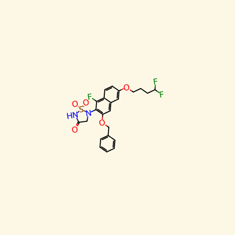 O=C1CN(c2c(OCc3ccccc3)cc3cc(OCCCC(F)F)ccc3c2F)S(=O)(=O)N1